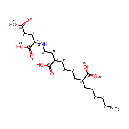 CCCCCCC(CCCCC(CCNC(CCC(=O)O)C(=O)O)C(=O)O)C(=O)O